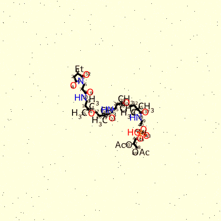 CCC1CC(=O)N(CCC(=O)NCCC(C)(C)OCCC(C)(C)C(=O)NCCC(C)(C)OCCC(C)(C)C(=O)NCCOP(=O)(O)OC[C@@H](COC(C)=O)OC(C)=O)C1=O